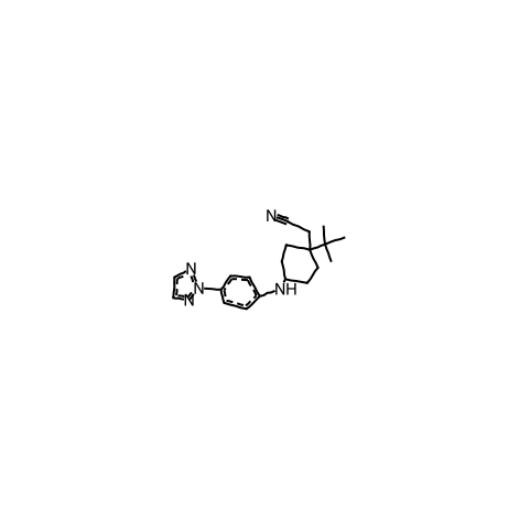 CC(C)(C)C1(CC#N)CCC(Nc2ccc(-n3nccn3)cc2)CC1